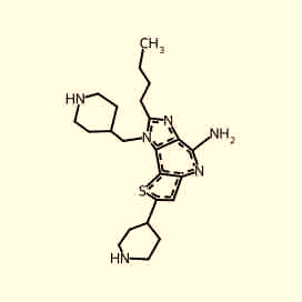 CCCCc1nc2c(N)nc3cc(C4CCNCC4)sc3c2n1CC1CCNCC1